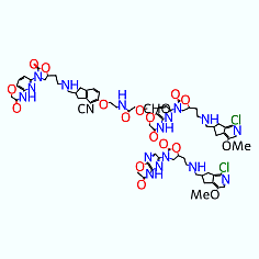 COc1cnc(Cl)c2c1CC(CNCCC1CN(c3ccc4c(n3)NC(=O)CO4)C(=O)O1)C2.COc1cnc(Cl)c2c1CC(CNCCC1CN(c3cnc4c(n3)NC(=O)CO4)C(=O)O1)C2.N#Cc1c(OCCNC(=O)COC=O)ccc2c1CC(CNCCC1CN(c3ccc4c(n3)NC(=O)CO4)C(=O)O1)C2